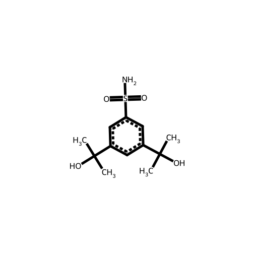 CC(C)(O)c1cc(C(C)(C)O)cc(S(N)(=O)=O)c1